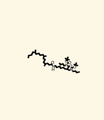 CCCCC(C)CCCCC(C)CCCC(C)CCC(=O)NCCCCCCC(CN(CCCC)C(=O)OC(C)(C)C)CN(CCCC)C(=O)OC(C)(C)C